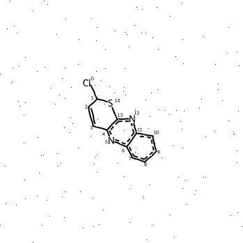 ClC1C=Cc2nc3ccccc3nc2S1